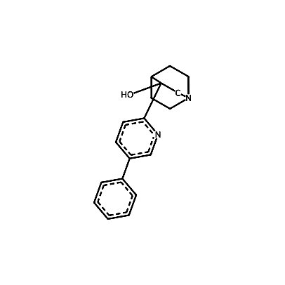 OC1(c2ccc(-c3ccccc3)cn2)CN2CCC1CC2